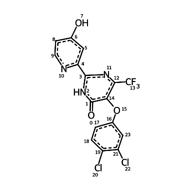 O=c1[nH]c(-c2cc(O)ccn2)nc(C(F)(F)F)c1Oc1ccc(Cl)c(Cl)c1